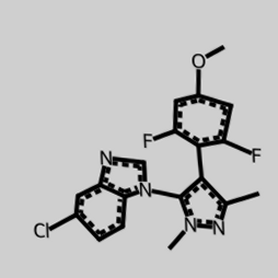 COc1cc(F)c(-c2c(C)nn(C)c2-n2cnc3cc(Cl)ccc32)c(F)c1